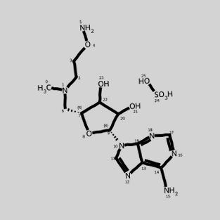 CN(CCON)C[C@H]1O[C@@H](n2cnc3c(N)ncnc32)C(O)C1O.O=S(=O)(O)O